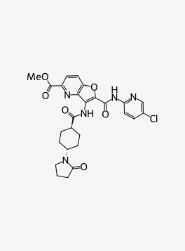 COC(=O)c1ccc2oc(C(=O)Nc3ccc(Cl)cn3)c(NC(=O)[C@H]3CC[C@H](N4CCCC4=O)CC3)c2n1